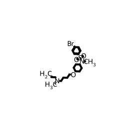 C=CCN(C)CCCCOC1CCC(N(C)S(=O)(=O)c2ccc(Br)cc2)CC1